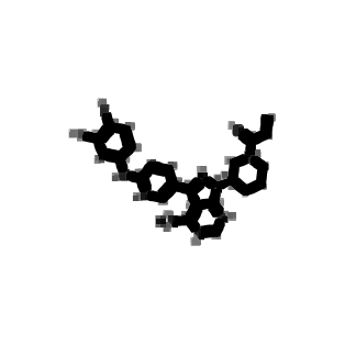 C=CC(=O)N1CCC[C@@H](n2nc(-c3ccc(Oc4ccc(F)c(F)c4)nc3)c3c(N)ncnc32)C1